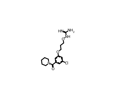 N=C(N)NOCCCOc1cc(Cl)cc(C(=O)N2CCCCC2)c1